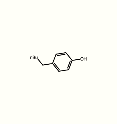 C[CH]CCCc1ccc(O)cc1